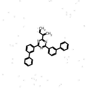 C=CC(=C)c1nc(-c2cccc(-c3ccccc3)c2)nc(-c2cccc(-c3ccccc3)c2)n1